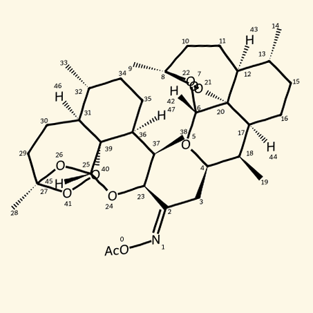 CC(=O)O/N=C(/C[C@H]1O[C@@H]2O[C@]3(C)CC[C@H]4[C@H](C)CC[C@@H]([C@H]1C)[C@@]24OO3)[C@H]1O[C@@H]2O[C@]3(C)CC[C@H]4[C@H](C)CC[C@@H]([C@H]1C)[C@@]24OO3